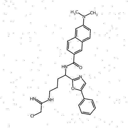 CN(C)c1ccc2cc(C(=O)NC(CCCNC(=N)CCl)c3ncc(-c4ccccc4)o3)ccc2c1